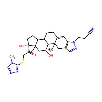 Cn1cnnc1SCC(=O)[C@@]1(O)CCC2C3CCC4=Cc5c(cnn5CCC#N)CC4(C)C3[C@@H](O)CC21C